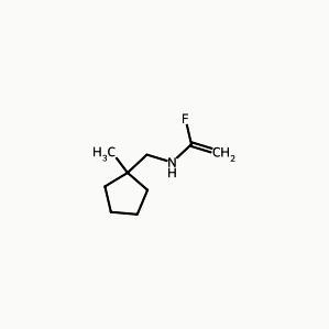 C=C(F)NCC1(C)CCCC1